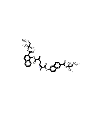 C=C(C/C=C(/C)C(=O)Oc1ccc2cc(C(=O)OC(CS(=O)(=O)O)(C(F)(F)F)C(F)(F)F)ccc2c1)C(=O)Oc1c(C(=O)OC(CS(=O)(=O)O)(C(F)(F)F)C(F)(F)F)ccc2ccccc12